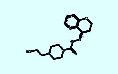 OCCN1CCN(C(=S)N/N=C2/CCOc3cccnc32)CC1